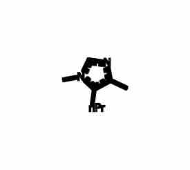 [CH2]CCc1c(C)ncn1C